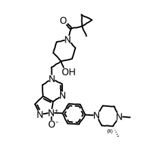 C[C@@H]1CN(c2ccc([N+]3([O-])N=CC4=C3N=CN(CC3(O)CCN(C(=O)C5(C)CC5)CC3)C4)cc2)CCN1C